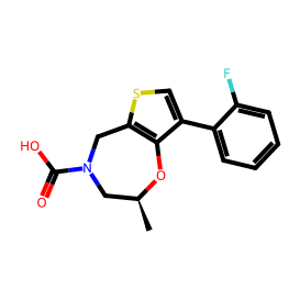 C[C@H]1CN(C(=O)O)Cc2scc(-c3ccccc3F)c2O1